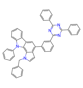 c1ccc(Cn2ccc3c(-c4cccc(-c5nc(-c6ccccc6)nc(-c6ccccc6)n5)c4)cc4c5ccccc5n(-c5ccccc5)c4c32)cc1